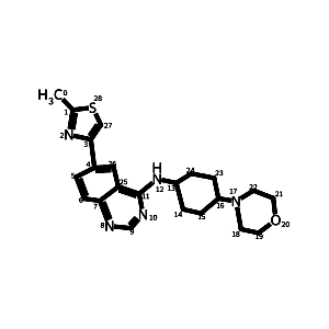 Cc1nc(-c2ccc3ncnc(NC4CCC(N5CCOCC5)CC4)c3c2)cs1